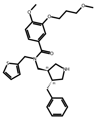 COCCCOc1cc(C(=O)N(Cc2cccs2)C[C@H]2CNC[C@@H]2Cc2ccccc2)ccc1OC